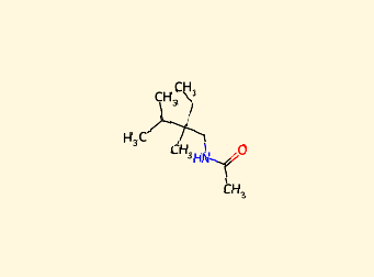 CCC(C)(CNC(C)=O)C(C)C